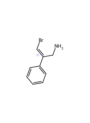 NC/C(=C\Br)c1ccccc1